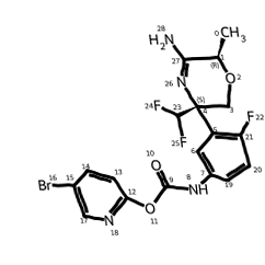 C[C@H]1OC[C@@](c2cc(NC(=O)Oc3ccc(Br)cn3)ccc2F)(C(F)F)N=C1N